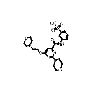 NS(=O)(=O)c1cccc(NC(=O)c2cc(OCCN3CCOCC3)nc(N3CCOCC3)n2)c1